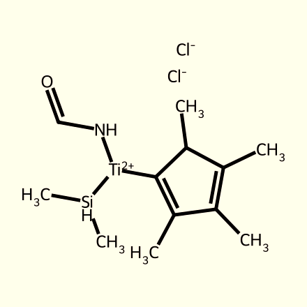 CC1=C(C)C(C)[C]([Ti+2]([NH]C=O)[SiH](C)C)=C1C.[Cl-].[Cl-]